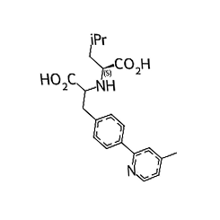 Cc1ccnc(-c2ccc(CC(N[C@@H](CC(C)C)C(=O)O)C(=O)O)cc2)c1